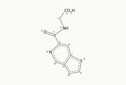 O=C(O)CNC(=O)c1cc2sccc2cn1